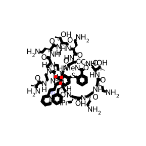 CNC(=O)c1ccccc1Sc1ccc2c(/C=C/c3ccccn3)nn(C(=O)N(CCNC(=O)[C@H](C)N)CCC(=O)N[C@@H](CCN)C(=O)N[C@H](C(=O)N[C@@H](CCN)C(=O)N[C@H]3CCNC(=O)[C@H]([C@@H](C)O)NC(=O)[C@H](CCN)NC(=O)[C@H](CCN)NC(=O)[C@H](CC(C)C)NC(=O)[C@@H](Cc4ccccc4)NC(=O)[C@H](CCN)NC3=O)[C@@H](C)O)c2c1